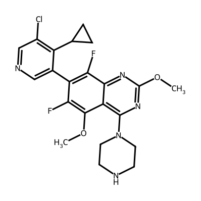 COc1nc(N2CCNCC2)c2c(OC)c(F)c(-c3cncc(Cl)c3C3CC3)c(F)c2n1